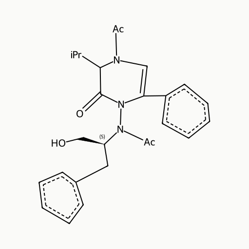 CC(=O)N1C=C(c2ccccc2)N(N(C(C)=O)[C@H](CO)Cc2ccccc2)C(=O)C1C(C)C